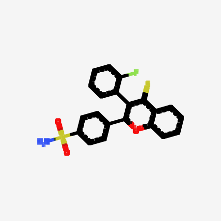 NS(=O)(=O)c1ccc(-c2oc3ccccc3c(=S)c2-c2ccccc2F)cc1